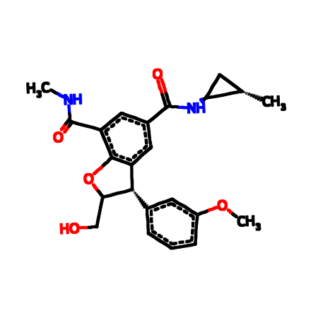 CNC(=O)c1cc(C(=O)N[C@H]2C[C@@H]2C)cc2c1OC(CO)[C@H]2c1cccc(OC)c1